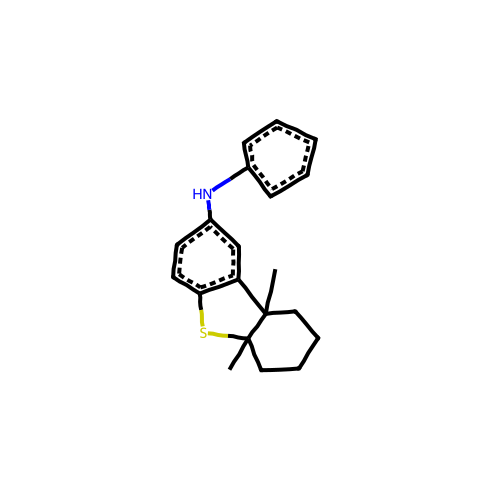 CC12CCCCC1(C)c1cc(Nc3ccccc3)ccc1S2